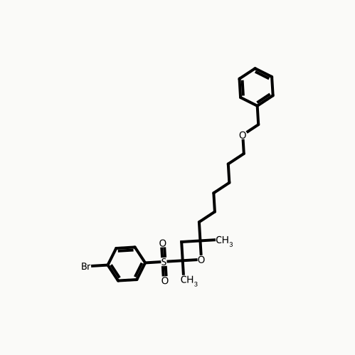 CC1(CCCCCCOCc2ccccc2)CC(C)(S(=O)(=O)c2ccc(Br)cc2)O1